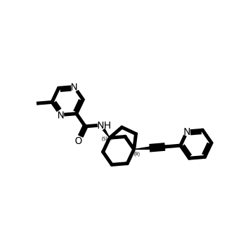 Cc1cncc(C(=O)N[C@@]23CCC[C@@](C#Cc4ccccn4)(CC2)C3)n1